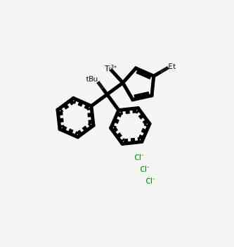 CCC1=C[C]([Ti+3])(C(c2ccccc2)(c2ccccc2)C(C)(C)C)C=C1.[Cl-].[Cl-].[Cl-]